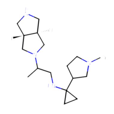 CC(C)N1CCC(C2(NCC(C)N3C[C@@H]4CNC[C@H]4C3)CC2)C1